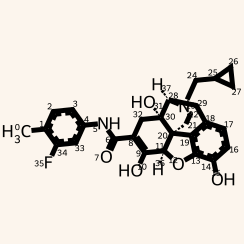 Cc1ccc(NC(=O)C2=C(O)[C@@H]3Oc4c(O)ccc5c4[C@@]34CCN(CC3CC3)[C@H](C5)[C@]4(O)C2)cc1F